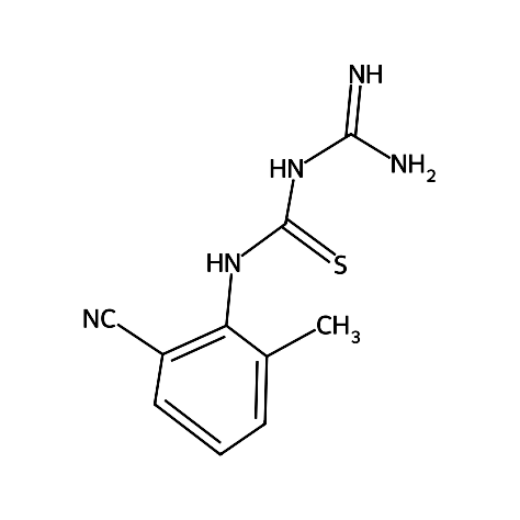 Cc1cccc(C#N)c1NC(=S)NC(=N)N